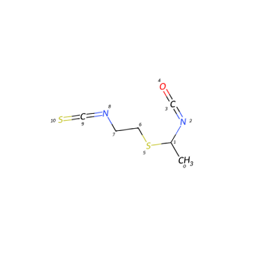 CC(N=C=O)SCCN=C=S